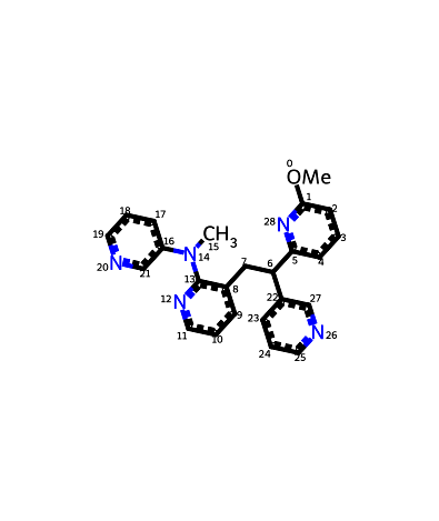 COc1cccc(C(Cc2cccnc2N(C)c2cccnc2)c2cccnc2)n1